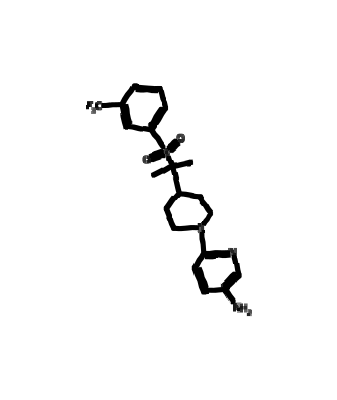 CC(C)(C1CCN(c2ccc(N)cn2)CC1)S(=O)(=O)c1cccc(C(F)(F)F)c1